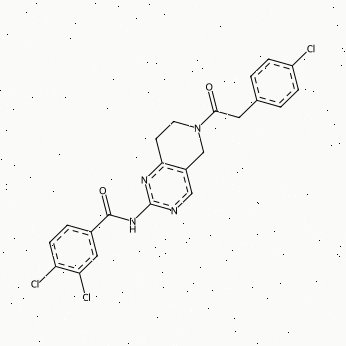 O=C(Nc1ncc2c(n1)CCN(C(=O)Cc1ccc(Cl)cc1)C2)c1ccc(Cl)c(Cl)c1